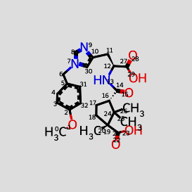 COc1ccc(Cn2cnc(C[C@H](NC(=O)[C@H]3CC[C@@](C)(C(=O)O)C3(C)C)C(=O)O)c2)cc1